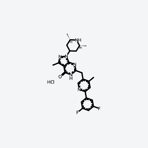 Cc1cc(-c2cc(F)cc(F)c2)ncc1Cc1nc2c(c(C)nn2C2C[C@@H](C)N[C@@H](C)C2)c(=O)[nH]1.Cl